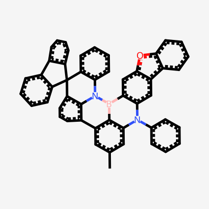 Cc1cc2c3c(c1)N(c1ccccc1)c1cc4c(cc1B3N1c3ccccc3C3(c5ccccc5-c5ccccc53)c3cccc-2c31)oc1ccccc14